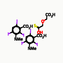 CNc1c(I)cc(I)c(C(=O)O)c1I.CNc1c(I)cc(I)c(C(=O)O)c1I.O=C(O)COCC(O)=S